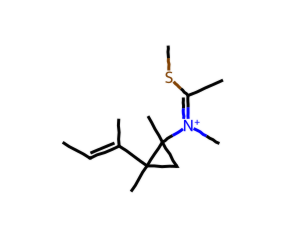 C/C=C(\C)C1(C)CC1(C)/[N+](C)=C(/C)SC